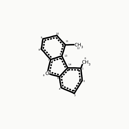 Cc1cccc2oc3cccc(C)c3c12